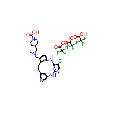 CN(Cc1ccc2cc1CCc1cncc(c1)Nc1ncc(Cl)c(n1)N2)CC1CCN(C(=O)O)CC1.O=C(O)C(F)(F)F.O=C(O)C(F)(F)F.O=C(O)C(F)(F)F